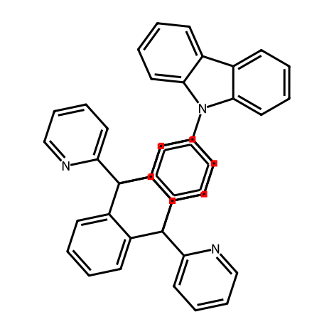 c1ccc(C23c4ccccc4C(c4ccccn4)(c4ccccc42)c2cc(-n4c5ccccc5c5ccccc54)ccc23)nc1